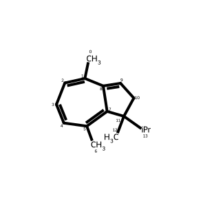 CC1=CC=CC(C)=C2C1=CCC2(C)C(C)C